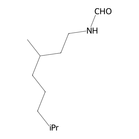 CC(C)CCCC(C)CCNC=O